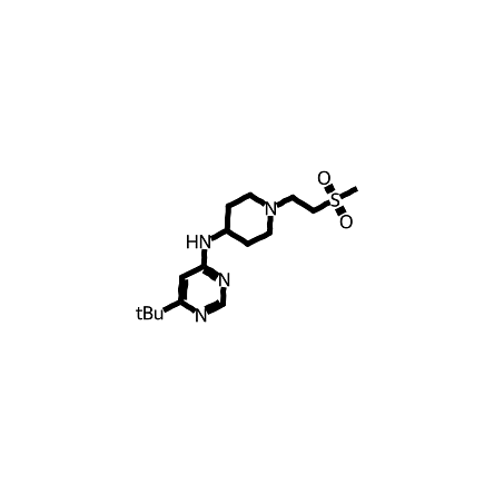 CC(C)(C)c1cc(NC2CCN(CCS(C)(=O)=O)CC2)ncn1